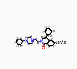 COc1ccc2c(=O)n(CCN3CCN(c4ccccc4)CC3)cc(-c3ccccc3)c2c1